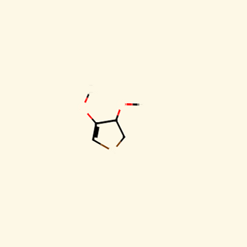 CCOC1=CSCC1OCC